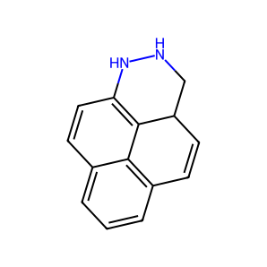 C1=CC2CNNc3ccc4cccc1c4c32